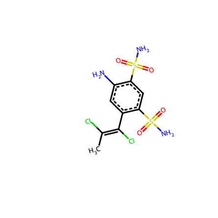 C/C(Cl)=C(\Cl)c1cc(N)c(S(N)(=O)=O)cc1S(N)(=O)=O